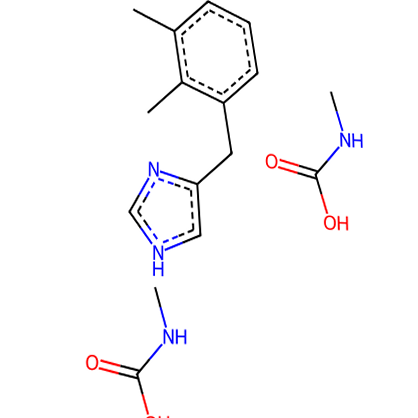 CNC(=O)O.CNC(=O)O.Cc1cccc(Cc2c[nH]cn2)c1C